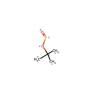 CC(C)(C)OP=O